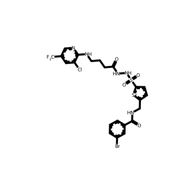 O=C(CCCNc1ncc(C(F)(F)F)cc1Cl)NNS(=O)(=O)c1ccc(CNC(=O)c2cccc(Br)c2)s1